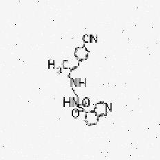 CC(=Cc1ccc(C#N)cc1)CNCCNS(=O)(=O)c1cccc2cnccc12